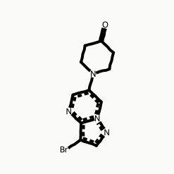 O=C1CCN(c2cnc3c(Br)cnn3c2)CC1